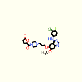 COc1cc2ncnc(Nc3ccc(F)c(Cl)c3)c2cc1OCCCN1CCN(C(=O)C2CCC(=O)O2)CC1